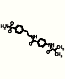 CC(C)[S+]([O-])Nc1ccc(C(=O)NCCc2ccc(S(N)(=O)=O)cc2)cc1